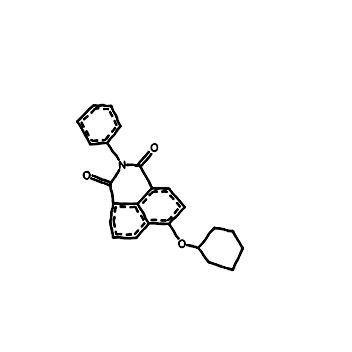 O=C1c2cccc3c(OC4CCCCC4)ccc(c23)C(=O)N1c1ccccc1